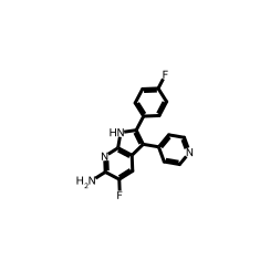 Nc1nc2[nH]c(-c3ccc(F)cc3)c(-c3ccncc3)c2cc1F